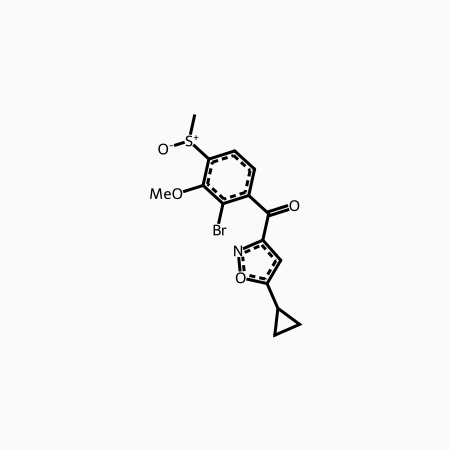 COc1c([S+](C)[O-])ccc(C(=O)c2cc(C3CC3)on2)c1Br